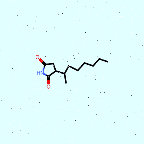 CCCCCCC(C)C1CC(=O)NC1=O